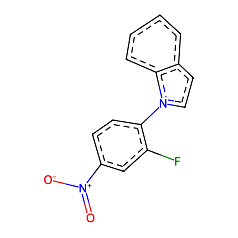 O=[N+]([O-])c1ccc(-n2ccc3ccccc32)c(F)c1